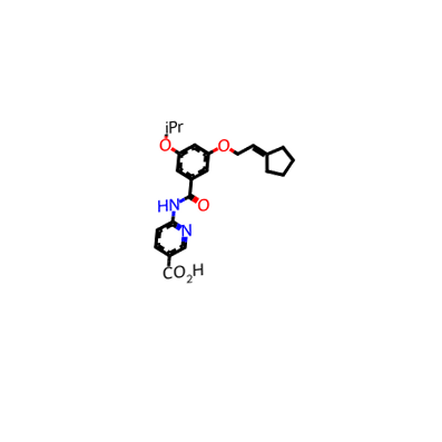 CC(C)Oc1cc(OCC=C2CCCC2)cc(C(=O)Nc2ccc(C(=O)O)cn2)c1